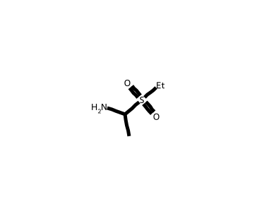 CCS(=O)(=O)C(C)N